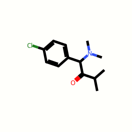 CC(C)C(=O)C(c1ccc(Cl)cc1)N(C)C